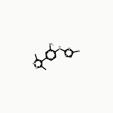 Cc1noc(C)c1-c1ccc(Nc2nc(Br)cs2)c(N)c1